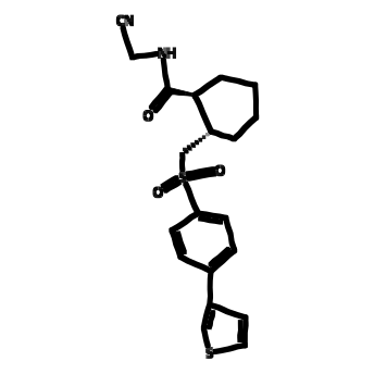 N#CCNC(=O)[C@H]1CCCC[C@@H]1CS(=O)(=O)c1ccc(-c2ccsc2)cc1